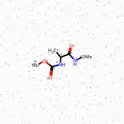 CONC(=O)C(C)NC(=O)OC(C)(C)C